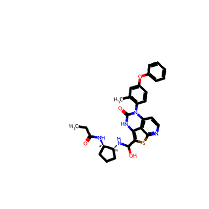 CCC(=O)N[C@@H]1CCC[C@H]1NC(O)c1sc2nccc3c2c1NC(=O)N3c1ccc(Oc2ccccc2)cc1C